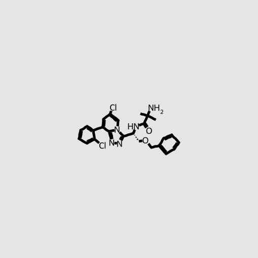 CC(C)(N)C(=O)N[C@H](COCc1ccccc1)c1nnc2c(-c3ccccc3Cl)cc(Cl)cn12